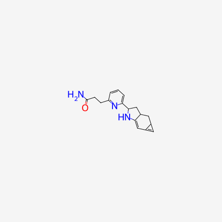 NC(=O)CCc1cccc(C2CC3CC4C=C4C=C3N2)n1